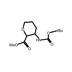 COC(=O)C1OCCCC1NC(=O)OC(C)(C)C